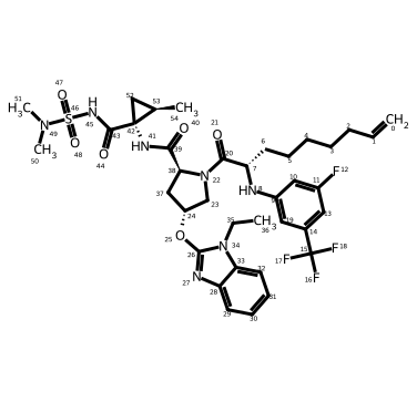 C=CCCCCC[C@H](Nc1cc(F)cc(C(F)(F)F)c1)C(=O)N1C[C@H](Oc2nc3ccccc3n2CC)C[C@H]1C(=O)N[C@]1(C(=O)NS(=O)(=O)N(C)C)C[C@H]1C